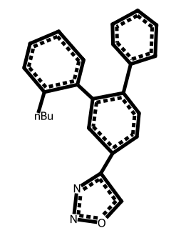 CCCCc1ccccc1-c1cc(-c2conn2)ccc1-c1ccccc1